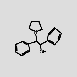 OC(c1ccccc1)C(c1ccccc1)N1CCCC1